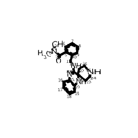 CN(C)C(=O)c1ccccc1CNC1=Nc2ccccc2NC12CCNCC2